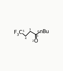 CCCCC(=O)CCC(F)(F)F